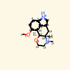 COc1ccc2[nH]cc3c2c1[C@]1(C)OCCN(C)[C@H]1C3